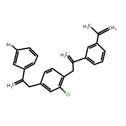 C=C(C)c1cccc(C(=C)Cc2ccc(CC(=C)c3cccc(C(C)=O)c3)cc2Cl)c1